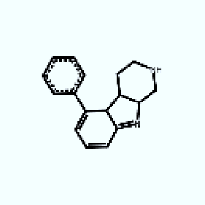 C1=CC2=NC3CNCCC3C2C(c2ccccc2)=C1